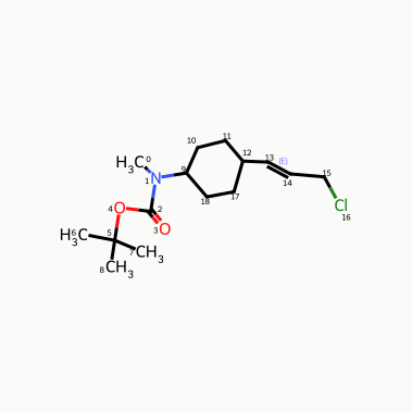 CN(C(=O)OC(C)(C)C)C1CCC(/C=C/CCl)CC1